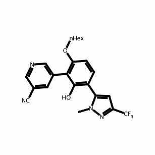 CCCCCCOc1ccc(-c2cc(C(F)(F)F)nn2C)c(O)c1-c1cncc(C#N)c1